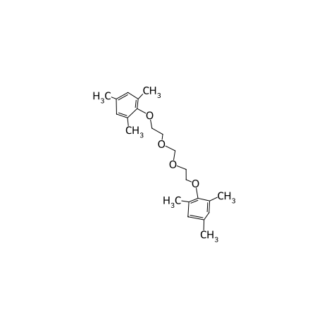 Cc1cc(C)c(OCCOCOCCOc2c(C)cc(C)cc2C)c(C)c1